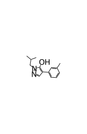 Cc1cccc(-c2cnn(CC(C)C)c2O)c1